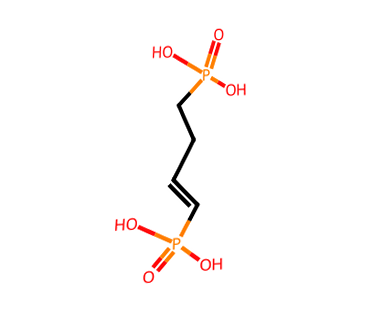 O=P(O)(O)C=CCCP(=O)(O)O